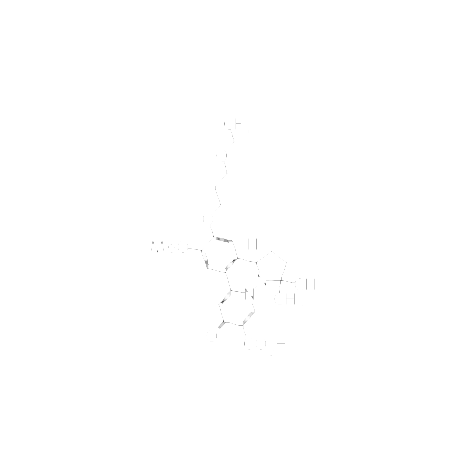 COc1cc2c(cc1OCCCOCC(F)(F)F)[C@H]1CCC(C)(C)N1n1cc(C(=O)O)c(=O)cc1-2